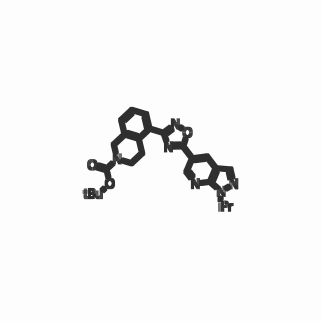 CC(C)n1ncc2cc(-c3nc(-c4cccc5c4CCN(C(=O)OC(C)(C)C)C5)no3)cnc21